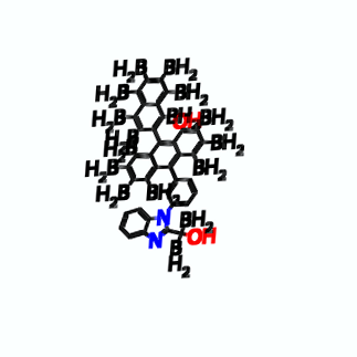 Bc1c(B)c(B)c2c(B)c(-c3c4c(B)c(B)c(B)c(B)c4c(-c4cccc(-n5c(C(B)(B)O)nc6ccccc65)c4)c4c(B)c(B)c(B)c(O)c34)c(B)c(B)c2c1B